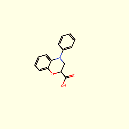 O=C(O)C1CN(c2ccccc2)c2ccccc2O1